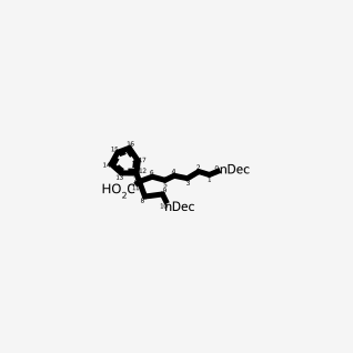 CCCCCCCCCCCCCCCCC(CCCCCCCCCCCC)(C(=O)O)c1ccccc1